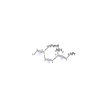 C\C=C(/C=C\C(N)=C\CCC)CCCCC